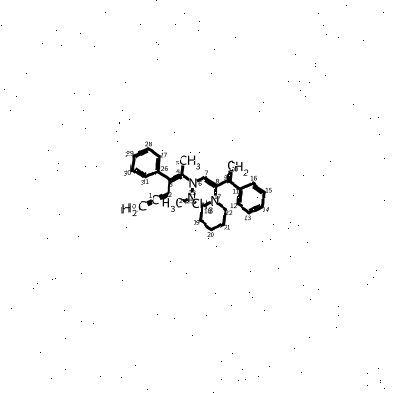 C=C=C/C(=C(/C)N(/C=C(/C(=C)c1ccccc1)N1CCCCC1)N(C)C)c1ccccc1